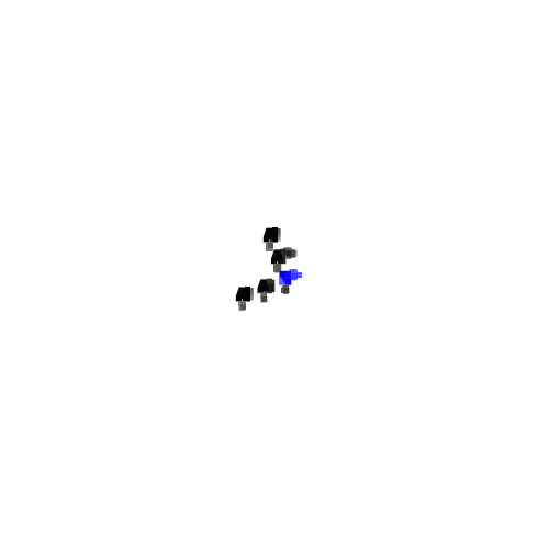 [Al+3].[Al].[Al].[Al].[N-3]